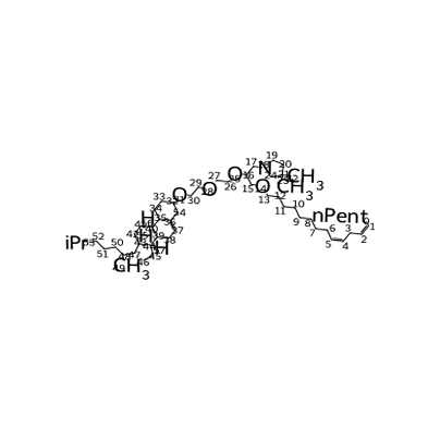 CCCCC/C=C\C/C=C\CCCCCCCCOCC(CN1CCC(C)(C)C1)OCCOCCO[C@H]1CCC2C(=CC[C@@H]3[C@@H]2CCC2[C@H]3CC[C@@H]2[C@H](C)CCCC(C)C)C1